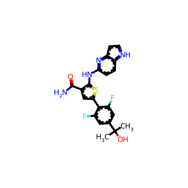 CC(C)(O)c1cc(F)c(-c2cc(C(N)=O)c(Nc3ccc4[nH]ccc4n3)s2)c(F)c1